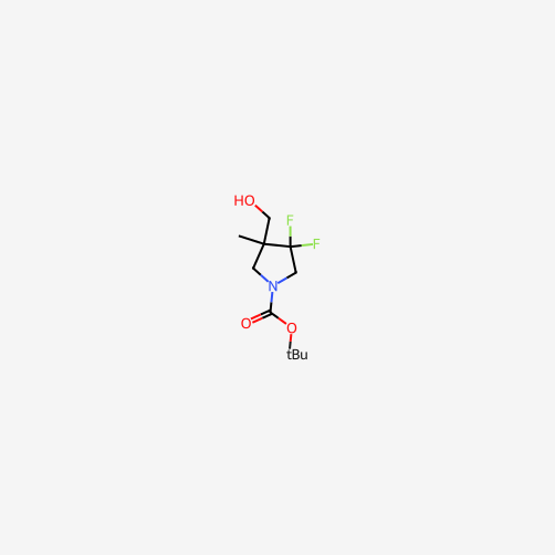 CC(C)(C)OC(=O)N1CC(F)(F)C(C)(CO)C1